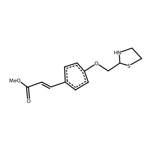 COC(=O)C=Cc1ccc(OCC2NCCS2)cc1